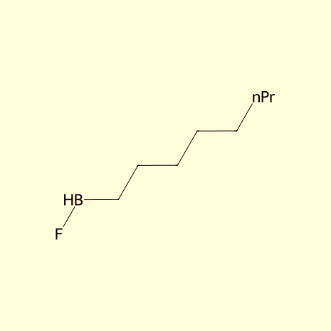 CCCCCCCCBF